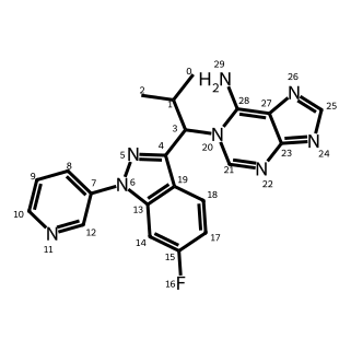 CC(C)C(c1nn(-c2cccnc2)c2cc(F)ccc12)n1cnc2ncnc-2c1N